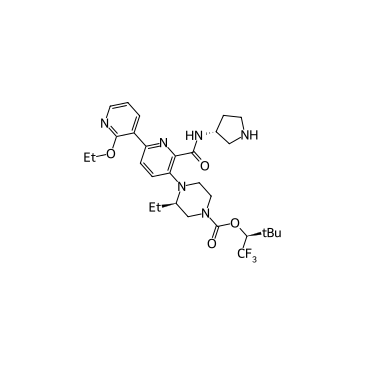 CCOc1ncccc1-c1ccc(N2CCN(C(=O)O[C@@H](C(C)(C)C)C(F)(F)F)C[C@H]2CC)c(C(=O)N[C@@H]2CCNC2)n1